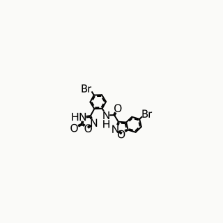 O=C(Nc1ccc(Br)cc1-c1noc(=O)[nH]1)c1noc2ccc(Br)cc12